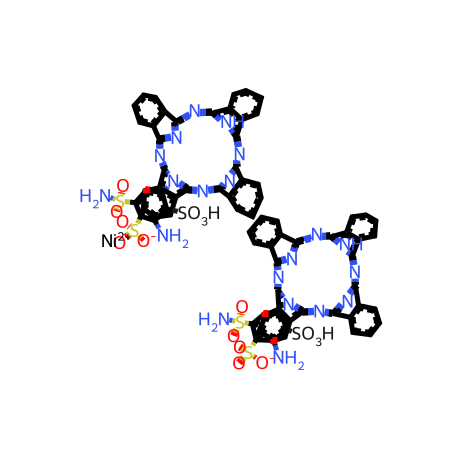 Nc1c(S(=O)(=O)[O-])c(S(N)(=O)=O)cc(-n2c3nc4nc(nc5[nH]c(nc6nc(nc2c2ccccc23)-c2ccccc2-6)c2ccccc52)-c2ccccc2-4)c1S(=O)(=O)O.Nc1c(S(=O)(=O)[O-])c(S(N)(=O)=O)cc(-n2c3nc4nc(nc5[nH]c(nc6nc(nc2c2ccccc23)-c2ccccc2-6)c2ccccc52)-c2ccccc2-4)c1S(=O)(=O)O.[Ni+2]